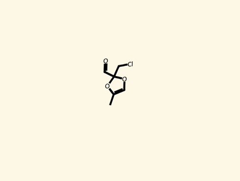 CC1=COC(C=O)(CCl)O1